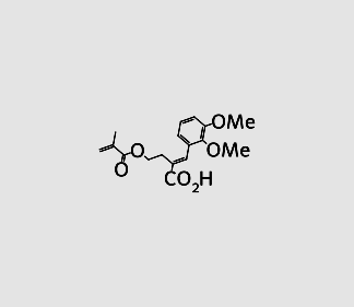 C=C(C)C(=O)OCCC(=Cc1cccc(OC)c1OC)C(=O)O